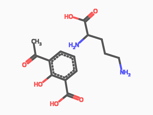 CC(=O)c1cccc(C(=O)O)c1O.NCCCC(N)C(=O)O